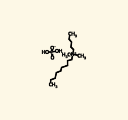 CCCCCCCCC[N+](C)(C)CCCCC.O=P([O-])(O)O